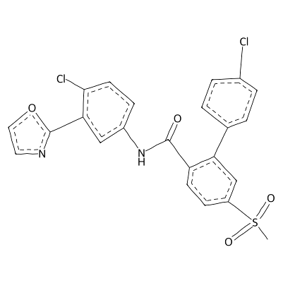 CS(=O)(=O)c1ccc(C(=O)Nc2ccc(Cl)c(-c3ncco3)c2)c(-c2ccc(Cl)cc2)c1